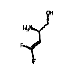 N[C@H](C=C(F)F)CO